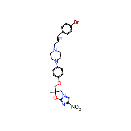 CC1(COc2ccc(N3CCN(C/C=C/c4ccc(Br)cc4)CC3)cc2)Cn2cc([N+](=O)[O-])nc2O1